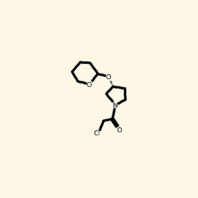 O=C(CCl)N1CC[C@@H](OC2CCCCO2)C1